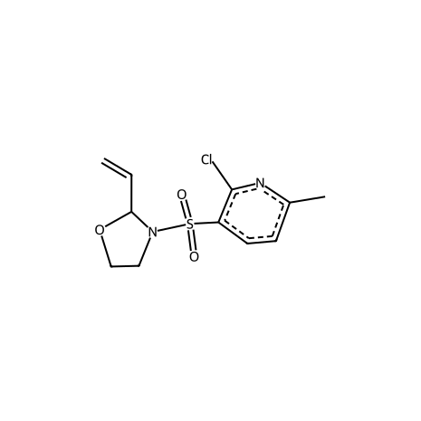 C=CC1OCCN1S(=O)(=O)c1ccc(C)nc1Cl